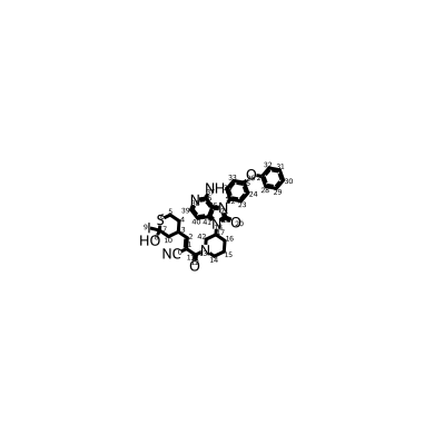 N#CC(=CC1CCSC(O)(I)C1)C(=O)N1CCCC(n2c(=O)n(-c3ccc(Oc4ccccc4)cc3)c3c(N)nccc32)C1